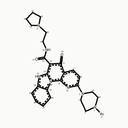 CC(=O)N1CCN(c2ccc3c(=O)c(C(=O)NCCN4CCCC4)c4[nH]c5ccccc5n4c3n2)CC1